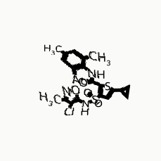 CC(=O)c1cc(C)cc(C)c1NC(=O)c1sc(C2CC2)cc1S(=O)(=O)Nc1onc(C)c1Cl